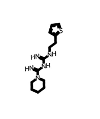 N=C(NCCc1cccs1)NC(=N)N1CCCCC1